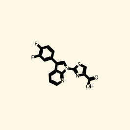 O=C(O)c1csc(-n2cc(-c3ccc(F)c(F)c3)c3cccnc32)n1